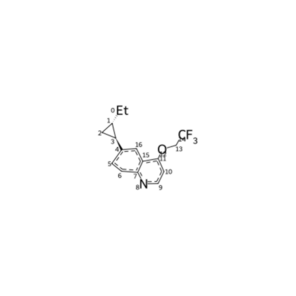 CC[C@H]1C[C@@H]1c1ccc2nccc(OCC(F)(F)F)c2c1